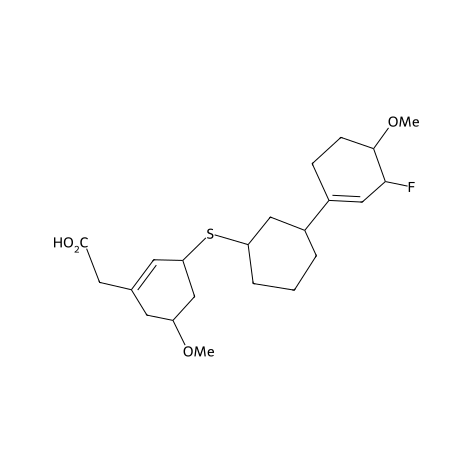 COC1CC(CC(=O)O)=CC(SC2CCCC(C3=CC(F)C(OC)CC3)C2)C1